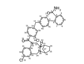 NC(=O)c1ccccc1-c1ccc(Cc2ccc(C(=O)N3C[C@@H]4C5CCC(C5)N4Cc4cc(Cl)ccc43)c(Cl)c2)cc1